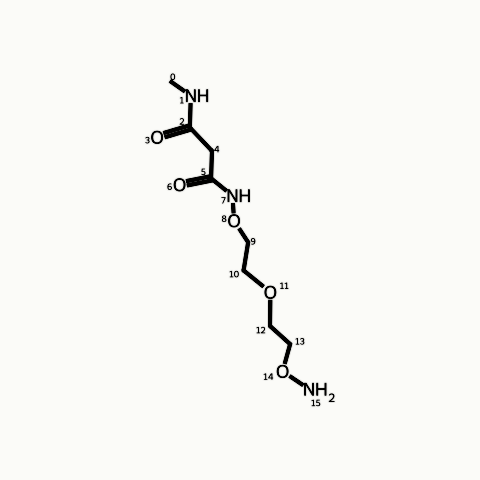 CNC(=O)CC(=O)NOCCOCCON